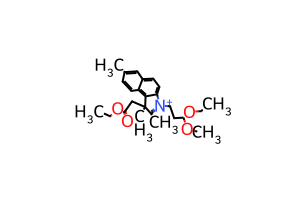 CCOC(=O)CC1(C)C(C)=[N+](CCC(OC)OCC)c2ccc3cc(C)ccc3c21